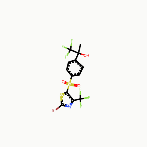 CC(O)(c1ccc(S(=O)(=O)c2sc(Br)nc2C(F)(F)F)cc1)C(F)(F)F